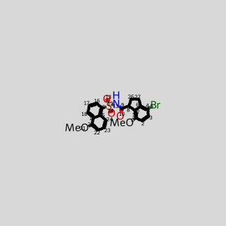 COc1ccc(Br)c2c1C(C(=O)NS(=O)(=O)c1cccc3c(OC)cccc13)CC2